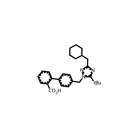 CC(C)(C)c1nc(CC2CCCCC2)nn1Cc1ccc(-c2ccccc2C(=O)O)cc1